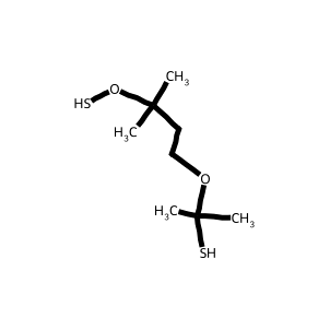 CC(C)(S)OCCC(C)(C)OS